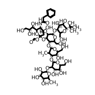 CC1O[C@@H](OC2[C@H](O[C@@H]3C(C)[C@H](O[C@H]4C(CO)O[C@@H](O[C@@H]5C(CO)O[C@@H](C(C)(C)C)C(O)[C@H]5O)C(O)[C@H]4O[C@]4(OC=O)C[C@@H](O)[C@@H](NC(=O)Cc5ccccc5)C([C@H](O)[C@H](O)CO)O4)OC(CO)[C@@H]3O)OC(CO)[C@H](O)[C@@H]2O)C(O)[C@@H](O)[C@@H]1O